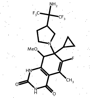 COC1c2[nH]c(=O)[nH]c(=O)c2C(C)=C(F)C1(C1CC1)N1CCC(C(N)(C(F)(F)F)C(F)(F)F)C1